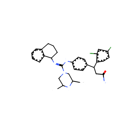 CC1CN(/C(=N/C2CCCc3ccccc32)Nc2ccc(C(CC(N)=O)c3ccc(Cl)cc3Cl)cc2)CC(C)N1